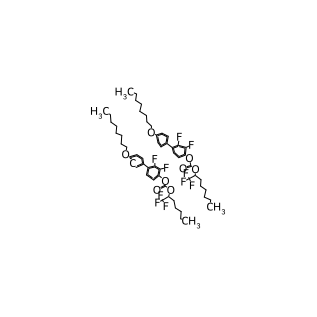 CCCCCCCCOc1ccc(-c2ccc(OC(=O)OC(CCCCC)C(F)(F)F)c(F)c2F)cc1.CCCCCCCCOc1ccc(-c2ccc(OC(=O)OC(CCCCCC)C(F)(F)F)c(F)c2F)cc1